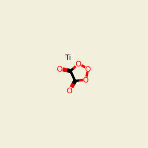 O=c1oooc1=O.[Ti]